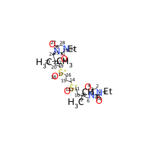 CCN1CC(=O)N(CC(C)(C)CC[S+]([O-])CCC[S+]([O-])CCC(C)(C)CN2C(=O)CN(CC)C2=O)C1=O